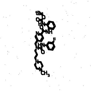 CN1CCN(CCCN(Cc2ccc(C(=O)Nc3ccccc3NC(=O)OC(C)(C)C)nc2)C(=O)Nc2cccc(F)c2)CC1